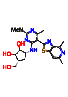 CNc1nc(C)c(-c2nc3c(C)nc(C)cc3s2)c(N[C@@H]2C[C@H](CO)[C@@H](O)[C@H]2O)n1